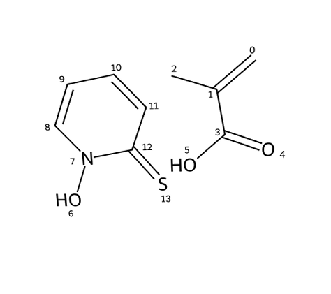 C=C(C)C(=O)O.On1ccccc1=S